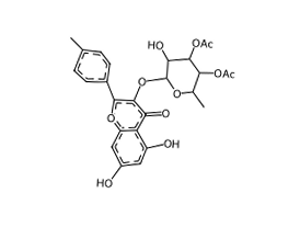 CC(=O)OC1C(C)OC(Oc2c(-c3ccc(C)cc3)oc3cc(O)cc(O)c3c2=O)C(O)C1OC(C)=O